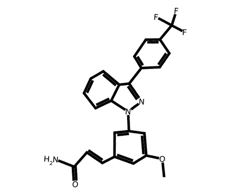 COc1cc(C=CC(N)=O)cc(-n2nc(-c3ccc(C(F)(F)F)cc3)c3ccccc32)c1